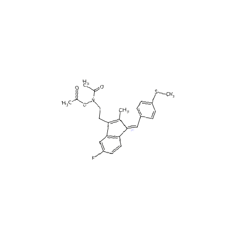 CSc1ccc(/C=C2\C(C)=C(CCN(OC(C)=O)C(C)=O)c3cc(F)ccc32)cc1